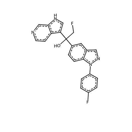 OC(CF)(c1ccc2c(cnn2-c2ccc(F)cc2)c1)c1c[nH]c2cnccc12